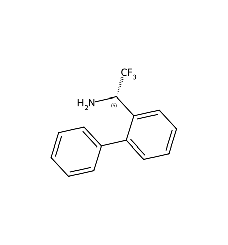 N[C@@H](c1ccccc1-c1ccccc1)C(F)(F)F